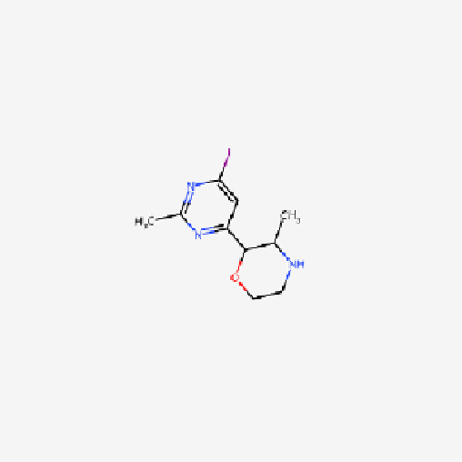 Cc1nc(I)cc(C2OCCNC2C)n1